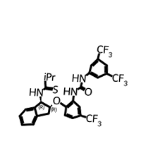 CC(C)C(=S)N[C@@H]1c2ccccc2C[C@H]1Oc1ccc(C(F)(F)F)cc1NC(=O)Nc1cc(C(F)(F)F)cc(C(F)(F)F)c1